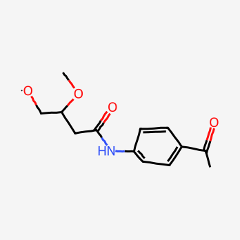 COC(C[O])CC(=O)Nc1ccc(C(C)=O)cc1